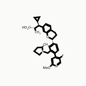 COc1cc(-c2ccc([C@H]3CCc4ccc([C@H](C5CC5)[C@H](C)C(=O)O)cc4O3)cc2CN2CCC[C@H]2C)c(F)cn1